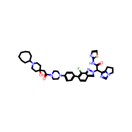 O=C(Nc1nccs1)C(c1ncn2c1CCC2)n1cc2ccc(-c3ccc(N4CCN(C(=O)CC5(O)CCN(C6CCCCCCC6)CC5)CC4)cc3)c(F)c2n1